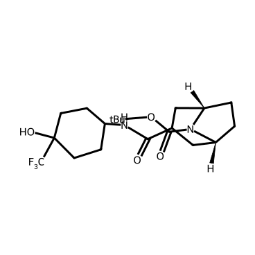 CC(C)(C)OC(=O)N1[C@@H]2CC[C@H]1CC(C(=O)NC1CCC(O)(C(F)(F)F)CC1)C2